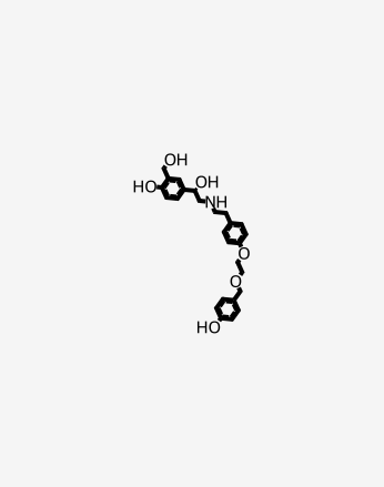 OCc1cc([C@@H](O)CNCCc2ccc(OCCOCc3ccc(O)cc3)cc2)ccc1O